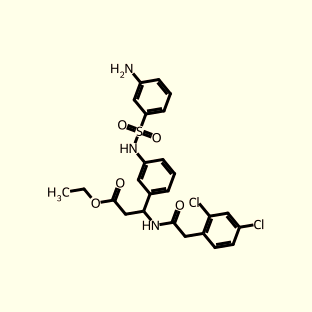 CCOC(=O)CC(NC(=O)Cc1ccc(Cl)cc1Cl)c1cccc(NS(=O)(=O)c2cccc(N)c2)c1